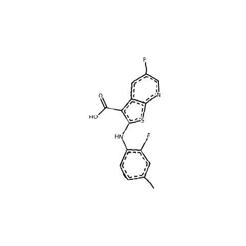 Cc1ccc(Nc2sc3ncc(F)cc3c2C(=O)O)c(F)c1